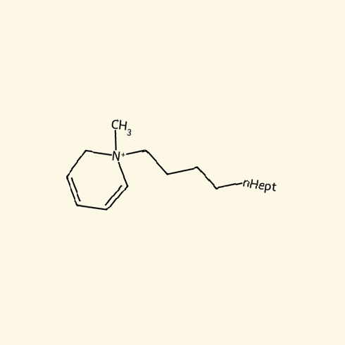 CCCCCCCCCCC[N+]1(C)C=CC=CC1